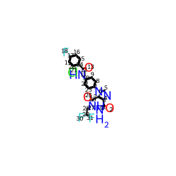 NC(=O)c1ncn(-c2ccc(NC(=O)c3ccc(F)cc3Cl)cc2)c1C(=O)NCC(F)F